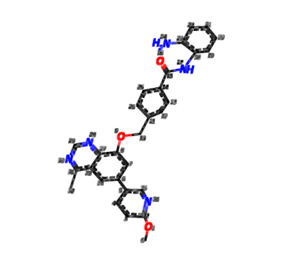 COc1ccc(-c2cc(OCc3ccc(C(=O)Nc4ccccc4N)cc3)c3ncnc(C)c3c2)cn1